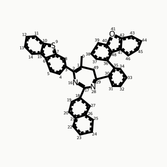 CC1=C(c2ccc3c(c2)sc2ccccc23)N=C(c2ccc3ccccc3c2)N=C(c2ccccc2-c2cccc3oc4ccccc4c23)C1